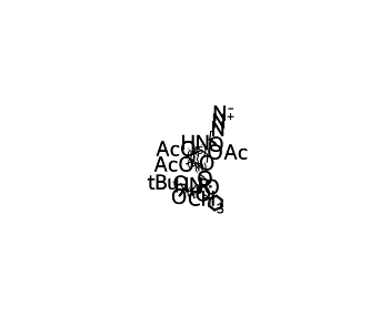 CC(=O)OC1O[C@H](COP(=O)(N[C@@H](C)C(=O)OC(C)(C)C)Oc2ccccc2)[C@@H](OC(C)=O)[C@H](OC(C)=O)[C@@H]1NC(=O)CN=[N+]=[N-]